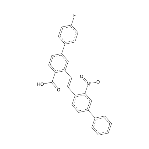 O=C(O)c1ccc(-c2ccc(F)cc2)cc1/C=C/c1ccc(-c2ccccc2)cc1[N+](=O)[O-]